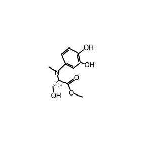 COC(=O)[C@H](CO)N(C)c1ccc(O)c(O)c1